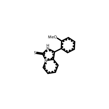 COc1ccccc1-c1[nH]c(=S)n2ccccc12